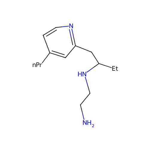 CCCc1ccnc(CC(CC)NCCN)c1